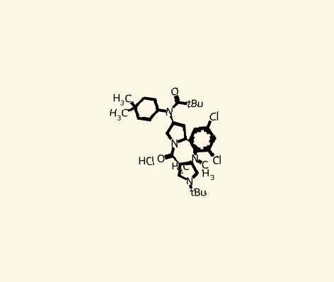 CN(C)C[C@@H]1C[C@H](N(C(=O)C(C)(C)C)C2CCC(C)(C)CC2)CN1C(=O)[C@@H]1CN(C(C)(C)C)C[C@H]1c1ccc(Cl)cc1Cl.Cl